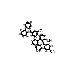 N#Cc1cc(-c2ccccc2-c2cccc(C#N)c2-n2c3ccccc3c3cc(C#N)ccc32)cc(-n2c3ccccc3c3ccccc32)c1